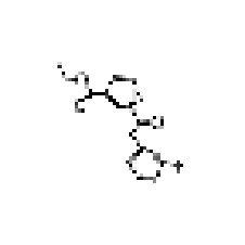 CCOC(=O)c1ccnc(C(=O)Cc2cccc(F)c2)c1